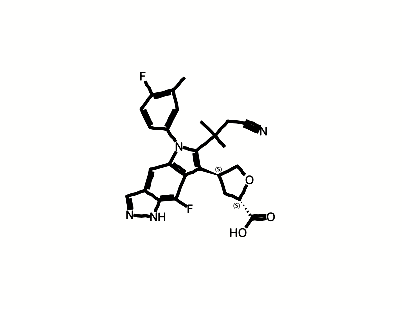 Cc1cc(-n2c(C(C)(C)CC#N)c([C@H]3CO[C@H](C(=O)O)C3)c3c(F)c4[nH]ncc4cc32)ccc1F